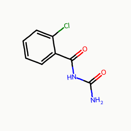 NC(=O)NC(=O)c1ccccc1Cl